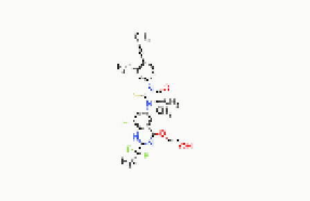 CC#Cc1ccc(N2C(=O)C(C)(C)N(c3cc(F)c4nc(C(C)(F)F)nc(OCCO)c4c3)C2=S)cc1C(F)(F)F